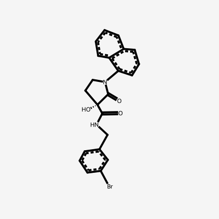 O=C(NCc1cccc(Br)c1)[C@@]1(O)CCN(c2cccc3ccccc23)C1=O